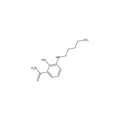 CCCCCNc1cccc(C(N)=O)c1O